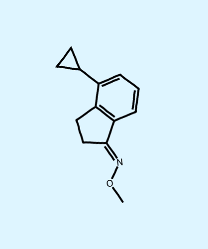 CON=C1CCc2c1cccc2C1CC1